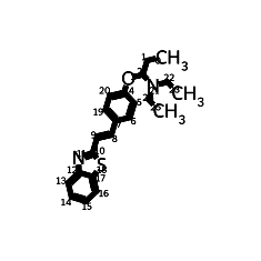 CCC(Oc1ccc(/C=C/c2nc3ccccc3s2)cc1)N(CC)CC